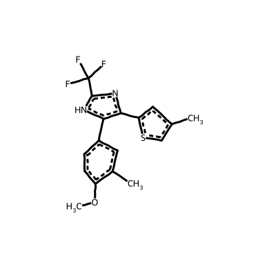 COc1ccc(-c2[nH]c(C(F)(F)F)nc2-c2cc(C)cs2)cc1C